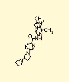 Cc1cn2cc(NC(=O)c3cnc(N4CCC(N5CCCC5)C4)cn3)nc(C)c2n1